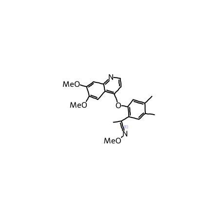 CO/N=C(\C)c1cc(C)c(C)cc1Oc1ccnc2cc(OC)c(OC)cc12